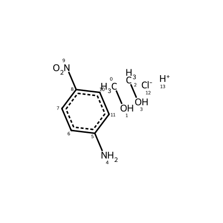 CO.CO.Nc1ccc([N+](=O)[O-])cc1.[Cl-].[H+]